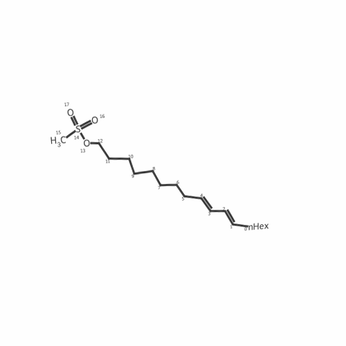 CCCCCCC=CC=CCCCCCCCCOS(C)(=O)=O